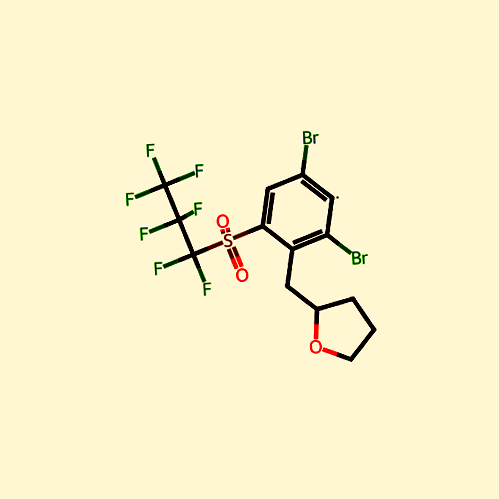 O=S(=O)(c1cc(Br)[c]c(Br)c1CC1CCCO1)C(F)(F)C(F)(F)C(F)(F)F